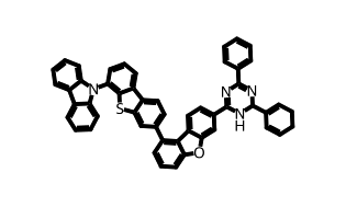 C1=CC(C2N=C(c3ccccc3)N=C(c3ccc4c(c3)oc3cccc(-c5ccc6c(c5)sc5c(-n7c8ccccc8c8ccccc87)cccc56)c34)N2)=CCC1